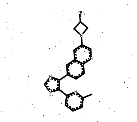 Cc1cccc(-c2[nH]cnc2-c2ccc3ncc(N4CC(N)C4)cc3c2)n1